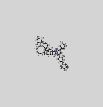 C=C(/C=C\C(=C)c1ccccccc(-c2ccccc2)c2ccccc12)c1nc(-c2ccccc2)cc(C2C=CC(C3C=NC=CC3)=CC2)n1